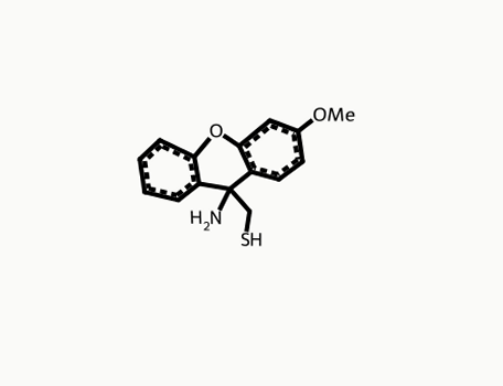 COc1ccc2c(c1)Oc1ccccc1C2(N)CS